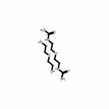 NC(=O)NCCOCCNC(N)=O.OCCOCCO